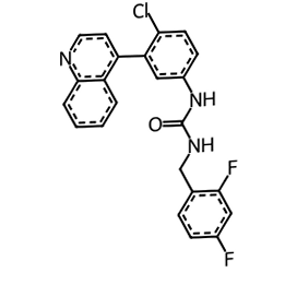 O=C(NCc1ccc(F)cc1F)Nc1ccc(Cl)c(-c2ccnc3ccccc23)c1